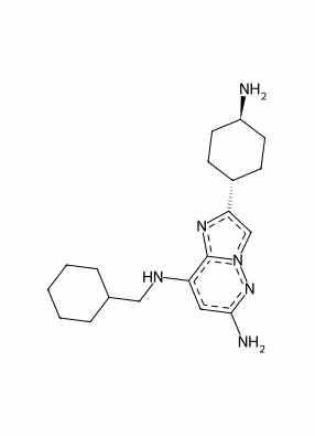 Nc1cc(NCC2CCCCC2)c2nc([C@H]3CC[C@H](N)CC3)cn2n1